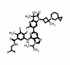 Cc1c(C(=O)NCC(F)F)cc(Nc2nc(-c3cc4c(nc3F)C(C)(C)C(=O)N4C3CC(C)(N4CCCC5(CC5)C4)C3)cc3ncn(C(C)C)c23)c(F)c1F